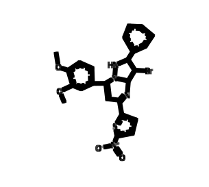 COc1ccc(C2=CC(c3ccc([N+](=O)[O-])s3)=NC3C(Br)C(c4ccccc4)NN23)cc1OC